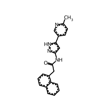 Cc1ccc(-c2cc(NC(=O)Cc3cccc4ccccc34)n[nH]2)cn1